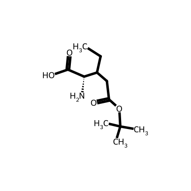 CCC(CC(=O)OC(C)(C)C)[C@H](N)C(=O)O